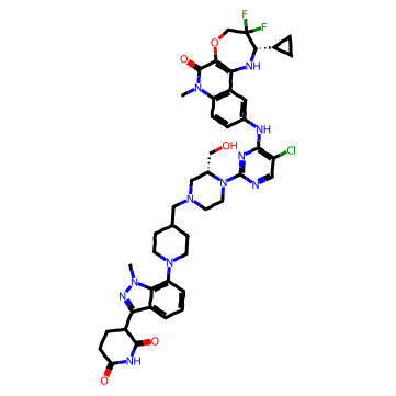 Cn1nc(C2CCC(=O)NC2=O)c2cccc(N3CCC(CN4CCN(c5ncc(Cl)c(Nc6ccc7c(c6)c6c(c(=O)n7C)OCC(F)(F)[C@H](C7CC7)N6)n5)[C@@H](CO)C4)CC3)c21